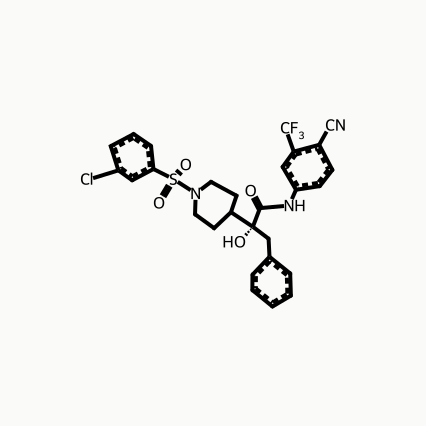 N#Cc1ccc(NC(=O)[C@@](O)(Cc2ccccc2)C2CCN(S(=O)(=O)c3cccc(Cl)c3)CC2)cc1C(F)(F)F